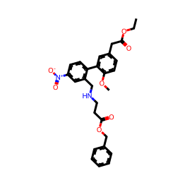 CCOC(=O)Cc1ccc(OC)c(-c2ccc([N+](=O)[O-])cc2CNCCC(=O)OCc2ccccc2)c1